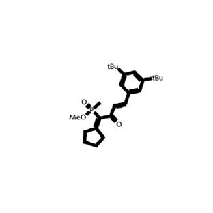 COP(C)(=O)C(C(=O)C=Cc1cc(C(C)(C)C)cc(C(C)(C)C)c1)=C1CCCC1